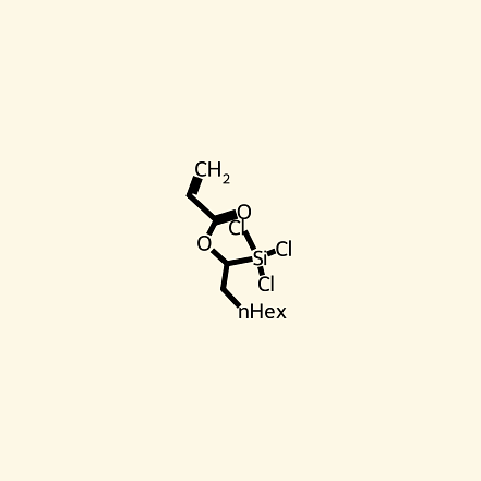 C=CC(=O)OC(CCCCCCC)[Si](Cl)(Cl)Cl